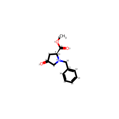 COC(=O)[C@@H]1CC(=O)CN1Cc1ccccc1